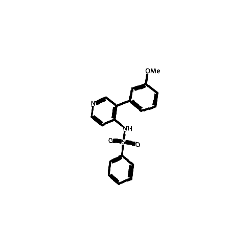 COc1cccc(-c2cnccc2NS(=O)(=O)c2ccccc2)c1